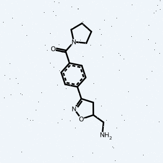 NCC1CC(c2ccc(C(=O)N3CCCC3)cc2)=NO1